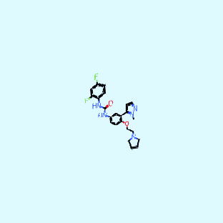 Cn1nccc1-c1cc(NC(=O)Nc2ccc(F)cc2F)ccc1OCCN1CCCC1